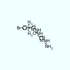 CC(C)(c1ccc(Br)cc1)c1csc(NC(=O)NCc2cnc(NCCN)nc2)n1